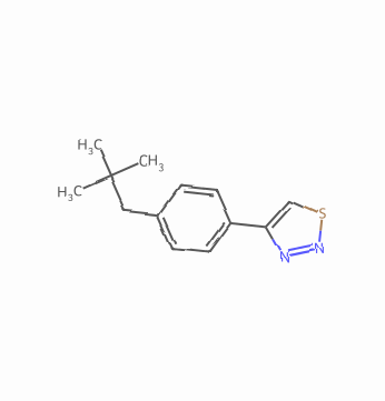 CC(C)(C)Cc1ccc(-c2csnn2)cc1